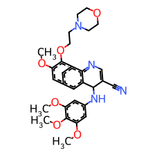 COc1cc(NC2C(C#N)=CN=c3c2cc2cc(OC)c(OCCN4CCOCC4)c3c2)cc(OC)c1OC